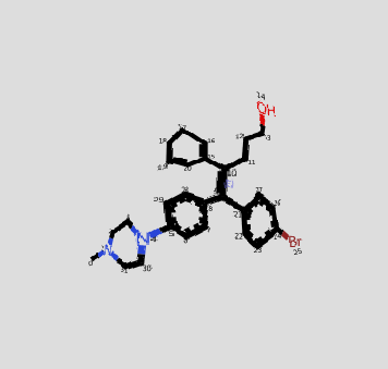 CN1CCN(c2ccc(/C(=C(/CCCO)C3=CCCC=C3)c3ccc(Br)cc3)cc2)CC1